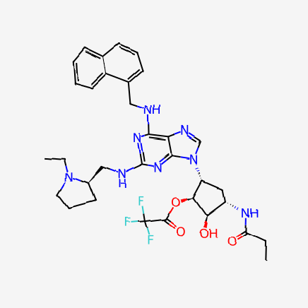 CCC(=O)N[C@H]1C[C@@H](n2cnc3c(NCc4cccc5ccccc45)nc(NC[C@H]4CCCN4CC)nc32)[C@H](OC(=O)C(F)(F)F)[C@@H]1O